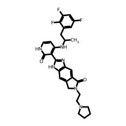 CC(Cc1cc(F)cc(F)c1F)Nc1cc[nH]c(=O)c1-c1nc2cc3c(cc2[nH]1)CN(CCN1CCCC1)C3=O